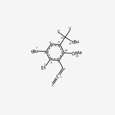 C=C=Cc1c(CC)c(C(C)(C)C)cc(C(C)(C)C(C)(C)C)c1OC